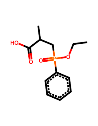 CCOP(=O)(CC(C)C(=O)O)c1ccccc1